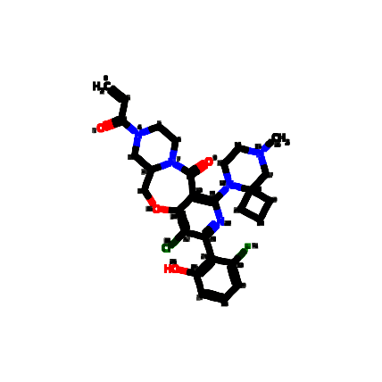 C=CC(=O)N1CCN2C(=O)c3c(N4CCN(C)CC45CCC5)nc(-c4c(O)cccc4F)c(Cl)c3OCC2C1